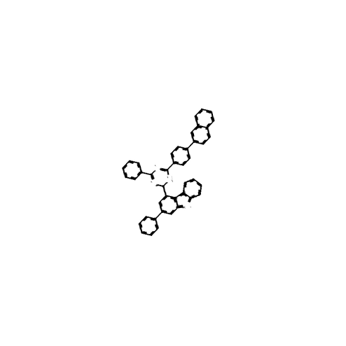 c1ccc(C2=NC(c3cc(-c4ccccc4)cc4oc5ccccc5c34)NC(c3ccc(-c4ccc5ccccc5c4)cc3)=N2)cc1